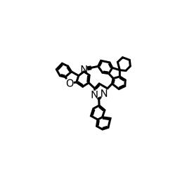 N#Cc1ccc2c(c1)-c1c(-c3cc(C4=CCC5C(=C4)Oc4ccccc45)nc(-c4ccc5ccccc5c4)n3)cccc1C21CCCCC1